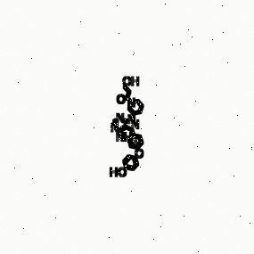 Nc1ncnc2c1c(-c1ccc(Oc3ccc(O)cc3)cc1)nn2[C@@H]1CCCN(C(=O)CCO)C1